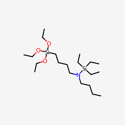 CCCCN(CCCC[Si](OCC)(OCC)OCC)[Si](CC)(CC)CC